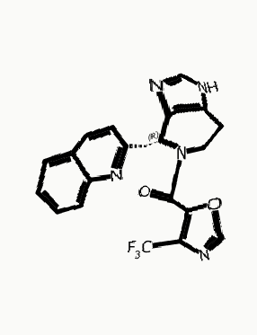 O=C(c1ocnc1C(F)(F)F)N1CCc2[nH]cnc2[C@H]1c1ccc2ccccc2n1